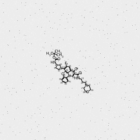 CC(C)(C)OC(=O)NC1CCN(c2c(F)cc3c(=O)c(C(=O)NCCCN4CCOCC4)cn4c3c2Oc2ccccc2-4)C1